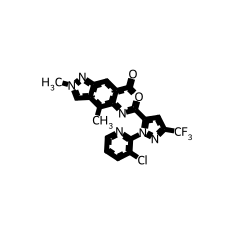 Cc1c2cn(C)nc2cc2c(=O)oc(-c3cc(C(F)(F)F)nn3-c3ncccc3Cl)nc12